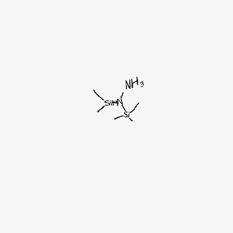 CN([SiH](C)C)[Si](C)(C)C.N